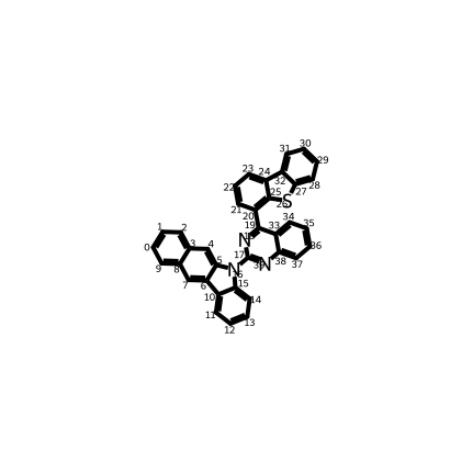 c1ccc2cc3c(cc2c1)c1ccccc1n3-c1nc(-c2cccc3c2sc2ccccc23)c2ccccc2n1